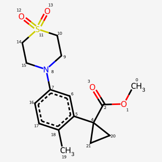 COC(=O)C1(c2cc(N3CCS(=O)(=O)CC3)ccc2C)CC1